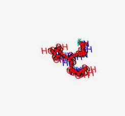 N#C[C@@H]1CC(F)(F)CN1C(=O)CNC(=O)c1ccnc2ccc(OCCCCNC(=O)c3cc(NCCNC(=O)CN4CCN(CC(=O)O)CCN(CC(=O)O)CCN(CC(=O)O)CC4)cc(C(=O)NCCCCC(NC(=O)CCC(NC(=O)NC(CCC(=O)O)C(=O)O)C(=O)O)C(=O)O)c3)cc12